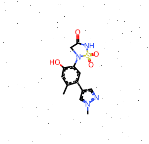 Cc1cc(O)c(N2CC(=O)NS2(=O)=O)cc1-c1cnn(C)c1